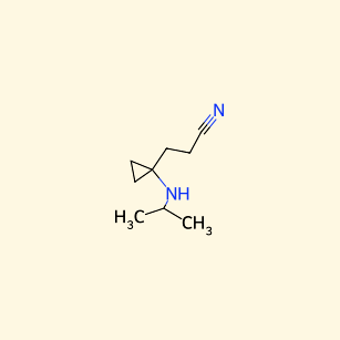 CC(C)NC1(CCC#N)CC1